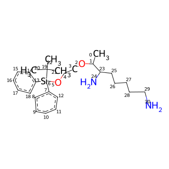 CC(OCCO[Si](c1ccccc1)(c1ccccc1)C(C)(C)C)C(N)CCCCCN